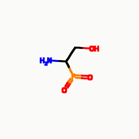 NC(CO)P(=O)=O